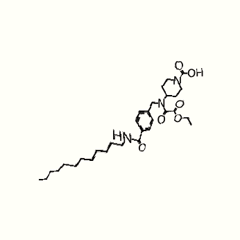 CCCCCCCCCCCCNC(=O)c1ccc(CN(C(=O)C(=O)OCC)C2CCN(C(=O)O)CC2)cc1